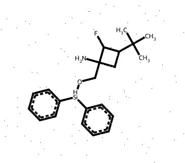 CC(C)(C)C1CC(N)(CO[SiH](c2ccccc2)c2ccccc2)C1F